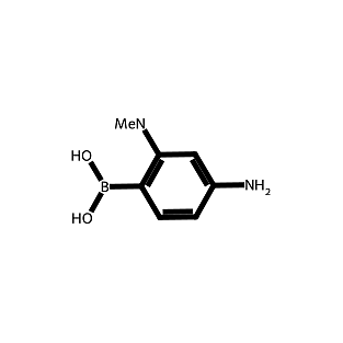 CNc1cc(N)ccc1B(O)O